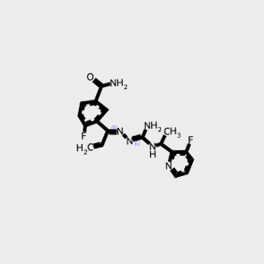 C=C/C(=N\N=C(/N)NC(C)c1ncccc1F)c1cc(C(N)=O)ccc1F